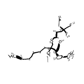 C#CCCCCC(Cl)(SCCC(F)(F)F)C(=O)OC